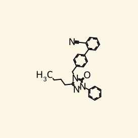 CCCCc1nn(-c2ccccc2)c(=O)n1Cc1ccc(-c2ccccc2C#N)cc1